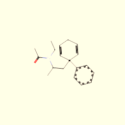 CCN(C(C)=O)C(C)CC1(c2ccccc2)C=CCC=C1